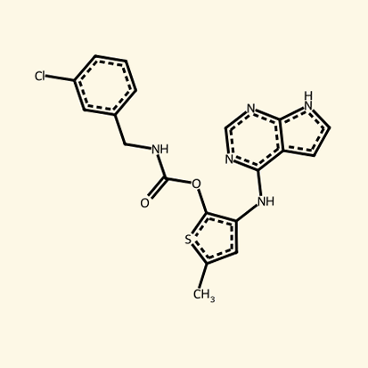 Cc1cc(Nc2ncnc3[nH]ccc23)c(OC(=O)NCc2cccc(Cl)c2)s1